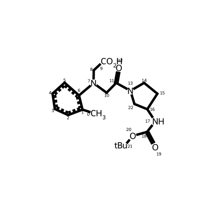 Cc1ccccc1N(CC(=O)O)CC(=O)N1CCC(NC(=O)OC(C)(C)C)C1